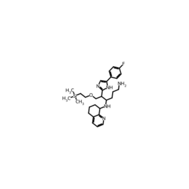 C[Si](C)(C)CCOCC(c1ncc(-c2ccc(F)cc2)[nH]1)C(CCCN)NC1CCCc2cccnc21